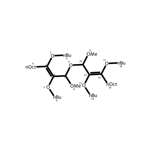 CCCCCCCCC(OCCCC)=C(OCCCC)C(OC)OC(OC)C(OCCCC)=C(CCCCCCCC)OCCCC